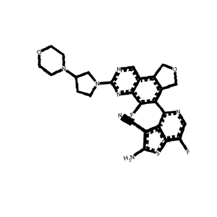 N#Cc1c(N)sc2c(F)cnc(-c3c4c(c5cnc(N6CCC(N7CCOCC7)C6)nc5c3F)COC4)c12